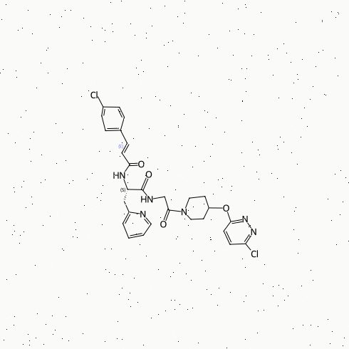 O=C(/C=C/c1ccc(Cl)cc1)N[C@@H](Cc1ccccn1)C(=O)NCC(=O)N1CCC(Oc2ccc(Cl)nn2)CC1